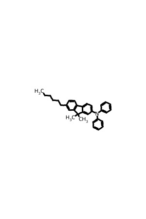 CCCCCCc1ccc2c(c1)C(C)(C)c1cc(N(c3ccccc3)c3ccccc3)ccc1-2